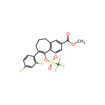 COC(=O)c1ccc2c(c1)CCCC(c1ccc(F)cc1F)=C2OS(=O)(=O)C(F)(F)F